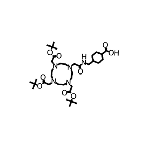 CC(C)(C)OC(=O)CN1CCN(CC(=O)NCC2CCC(C(=O)O)CC2)CCN(CC(=O)OC(C)(C)C)CCN(CC(=O)OC(C)(C)C)CC1